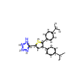 CC(C)c1ccc(-c2cc(-c3nnn[nH]3)sc2-c2ccc(C(C)C)cc2)cc1